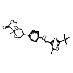 Cc1oc(C(C)(C)C)nc1COc1ccc([C@H]2CO[C@@](C)(C(=O)O)OC2)cc1